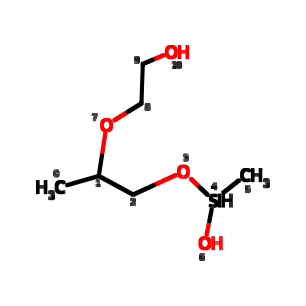 CC(CO[SiH](C)O)OCCO